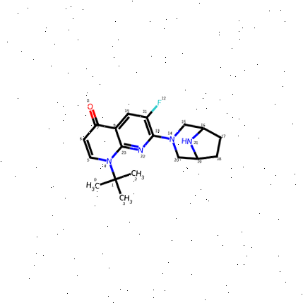 CC(C)(C)n1ccc(=O)c2cc(F)c(N3CC4CCC(C3)N4)nc21